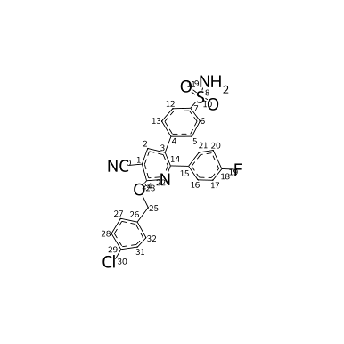 N#Cc1cc(-c2ccc(S(N)(=O)=O)cc2)c(-c2ccc(F)cc2)nc1OCc1ccc(Cl)cc1